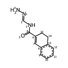 NN=CNC(=O)C1=Cc2ccccc2CC1